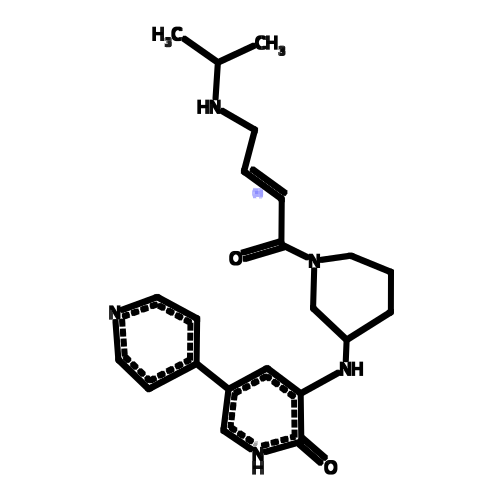 CC(C)NC/C=C/C(=O)N1CCCC(Nc2cc(-c3ccncc3)c[nH]c2=O)C1